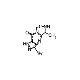 CC(C)c1n[nH]c2c(=O)n3c(nc12)C(C)NCC3